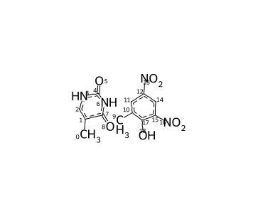 Cc1c[nH]c(=O)[nH]c1=O.Cc1cc([N+](=O)[O-])cc([N+](=O)[O-])c1O